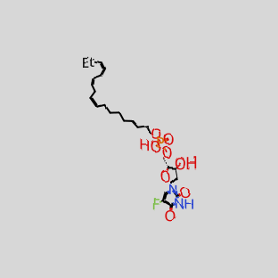 CC/C=C\C/C=C\C/C=C\CCCCCCCCOP(=O)(O)OC[C@H]1O[C@@H](n2cc(F)c(=O)[nH]c2=O)C[C@@H]1O